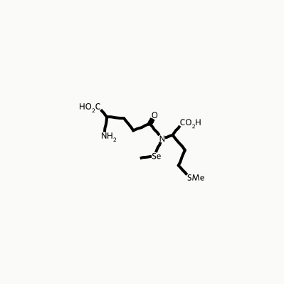 CSCCC(C(=O)O)N([Se]C)C(=O)CCC(N)C(=O)O